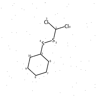 ClC(Cl)SSC1CCCCC1